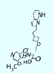 COc1cncc(Cl)c1CN[C@H](CCOC1CC(CCc2ccc3c(n2)NCCC3)C1)C(=O)O